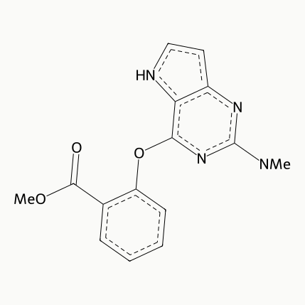 CNc1nc(Oc2ccccc2C(=O)OC)c2[nH]ccc2n1